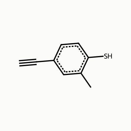 C#Cc1ccc(S)c(C)c1